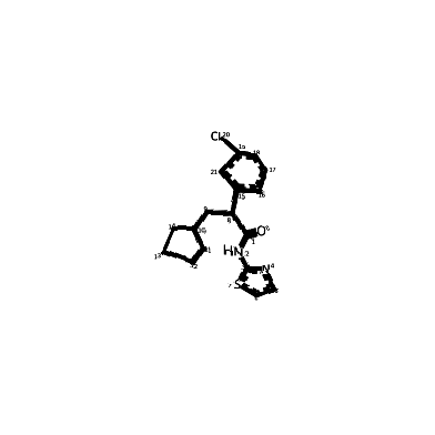 O=C(Nc1n[c]cs1)C(CC1CCCC1)c1cccc(Cl)c1